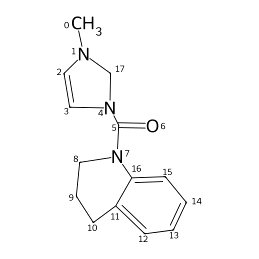 CN1C=CN(C(=O)N2CCCc3ccccc32)C1